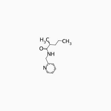 CCC[C@H](C)C(=O)NCc1ccccn1